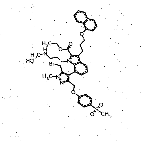 CCOC(=O)c1c(CCCOc2cccc3ccccc23)c2cccc(-c3c(COc4ccc(S(C)(=O)=O)cc4)nn(C)c3CBr)c2n1CCCNC.Cl